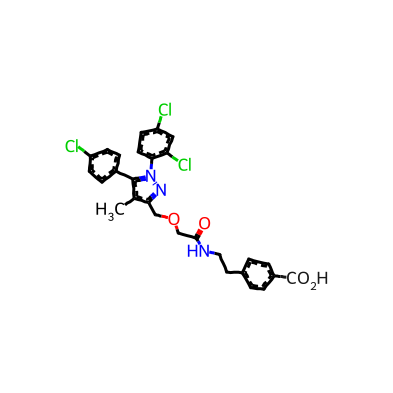 Cc1c(COCC(=O)NCCc2ccc(C(=O)O)cc2)nn(-c2ccc(Cl)cc2Cl)c1-c1ccc(Cl)cc1